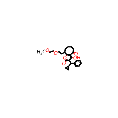 COCCOCCC1CCCCC(=O)c2c1oc(=O)c(C(c1ccccc1)C1CC1)c2O